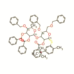 Cc1ccc(C(C)(C)C)cc1S[C@@H]1OC(COCc2ccccc2)[C@@H](OCc2ccccc2)C(O[C@@H]2OC(C)[C@H](OCc3ccccc3)C(OC(=O)c3ccccc3)C2OC(=O)c2ccccc2)C1OC(=O)c1ccccc1